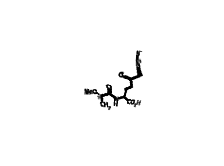 CO[C@@H](C)C(=O)NC(CCC(=O)C=[N+]=[N-])C(=O)O